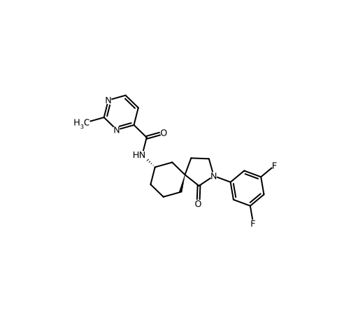 Cc1nccc(C(=O)N[C@H]2CCC[C@]3(CCN(c4cc(F)cc(F)c4)C3=O)C2)n1